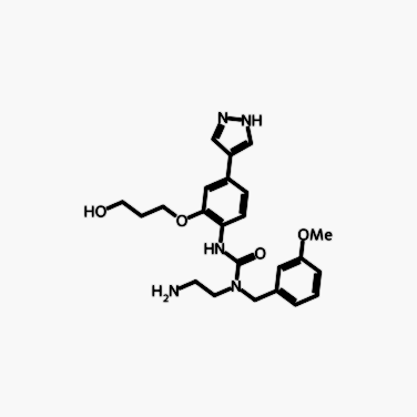 COc1cccc(CN(CCN)C(=O)Nc2ccc(-c3cn[nH]c3)cc2OCCCO)c1